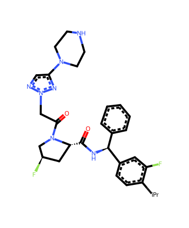 CC(C)c1ccc([C@@H](NC(=O)[C@@H]2C[C@@H](F)CN2C(=O)Cn2ncc(N3CCNCC3)n2)c2ccccc2)cc1F